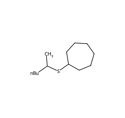 [CH2]CCCC(C)SC1CCCCCC1